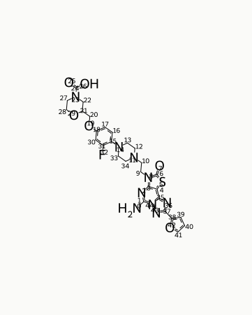 Nc1nc2c(sc(=O)n2CCN2CCN(c3ccc(OCC4CN(C(=O)O)CCO4)cc3F)CC2)c2nc(-c3ccco3)nn12